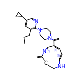 C=C1CCCN/C=C/C=C(C(=C)N2CCN(c3ncc(C4CC4)cc3CCC)CC2)\C=N/1